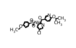 CCOc1ccc(S(=O)(=O)Nc2cc(Cl)cnc2C(=O)c2ccc(OC(C)C)nc2)cc1